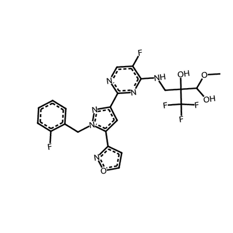 COC(O)C(O)(CNc1nc(-c2cc(-c3ccon3)n(Cc3ccccc3F)n2)ncc1F)C(F)(F)F